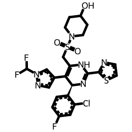 O=S(=O)(CC1=C(c2cnn(C(F)F)c2)[C@H](c2ccc(F)cc2Cl)N=C(c2nccs2)N1)N1CCC(O)CC1